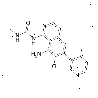 CNC(=O)Nc1nccc2cc(-c3cnccc3C)c(Cl)c(N)c12